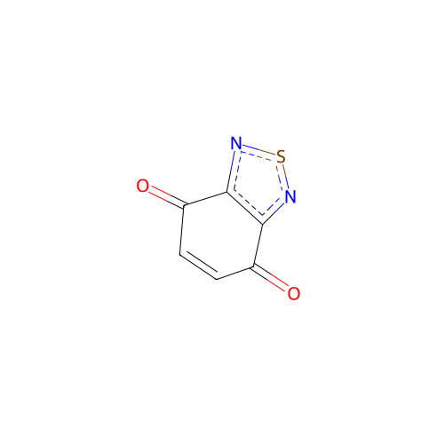 O=C1C=CC(=O)c2nsnc21